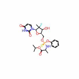 CC(C)OC(=O)C(C)NP(=S)(OC[C@H]1O[C@@H](n2ccc(=O)[nH]c2=O)C(C)(F)C1O)Oc1ccccc1